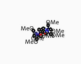 COC1=C=C=C(/C(=C\N(C=C(c2ccc(OC)cc2)c2ccc(OC)cc2)C2=CC3=C(CC2)C2=C(C=C4N(C=C(c5ccc(OC)cc5)c5ccc(OC)cc5)C=C(c5ccc(OC)cc5)C5=CC=C(OC)C54C2)C32c3ccccc3-c3ccccc32)c2ccc(OC)cc2)C=C1